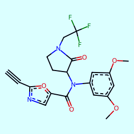 C#Cc1ncc(C(=O)N(c2cc(OC)cc(OC)c2)C2CCN(CC(F)(F)F)C2=O)o1